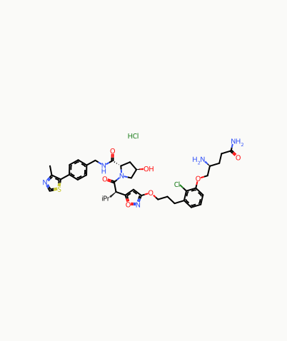 Cc1ncsc1-c1ccc(CNC(=O)[C@@H]2C[C@@H](O)CN2C(=O)[C@@H](c2cc(OCCCc3cccc(OC[C@@H](N)CCC(N)=O)c3Cl)no2)C(C)C)cc1.Cl